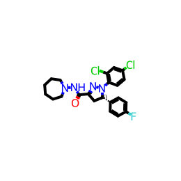 O=C(NN1CCCCCC1)C1=NN(c2ccc(Cl)cc2Cl)[C@H](c2ccc(F)cc2)C1